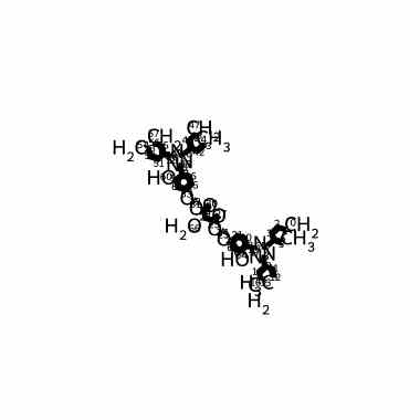 C=C/C=C\C(=C/C)c1nc(C(/C=C\C)=C/C=C)nc(-c2ccc(OCOC(=O)CC(=O)OCOc3ccc(-c4nc(C(/C=C\C)=C/C=C)nc(C(/C=C\C=C)=C/C=C)n4)c(O)c3)cc2O)n1.O